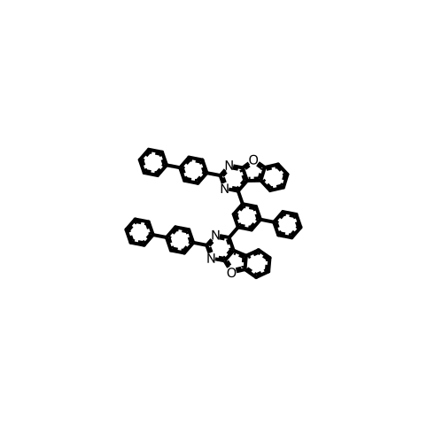 c1ccc(-c2ccc(-c3nc(-c4cc(-c5ccccc5)cc(-c5nc(-c6ccc(-c7ccccc7)cc6)nc6oc7ccccc7c56)c4)c4c(n3)oc3ccccc34)cc2)cc1